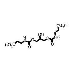 O=C(O)CCNC(=O)OCC(O)COC(=O)NCCC(=O)O